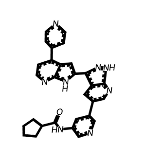 O=C(Nc1cncc(-c2cnc3[nH]nc(-c4cc5c(-c6ccncc6)ccnc5[nH]4)c3c2)c1)C1CCCC1